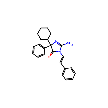 NC1=NC(c2ccccc2)(C2CCCCC2)C(=O)N1C=Cc1ccccc1